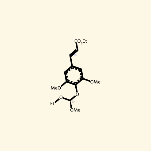 CCOC(=O)/C=C/c1cc(OC)c(O[C@@H](OC)OCC)c(OC)c1